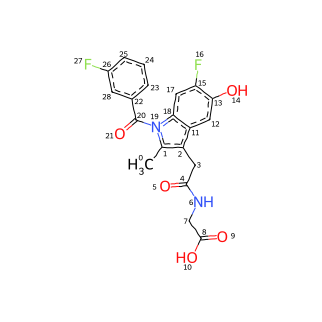 Cc1c(CC(=O)NCC(=O)O)c2cc(O)c(F)cc2n1C(=O)c1cccc(F)c1